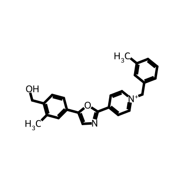 Cc1cccc(C[n+]2ccc(-c3ncc(-c4ccc(CO)c(C)c4)o3)cc2)c1